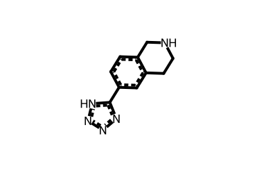 c1cc2c(cc1-c1nnn[nH]1)CCNC2